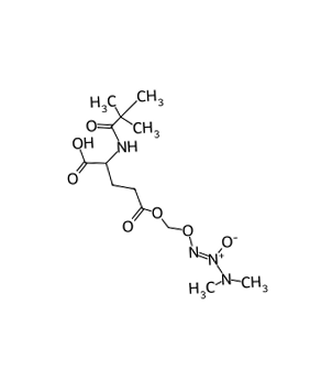 CN(C)/[N+]([O-])=N/OCOC(=O)CCC(NC(=O)C(C)(C)C)C(=O)O